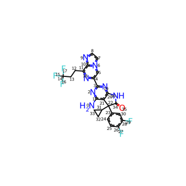 Nc1nc(-c2cn3ccnc3c(CCC(F)(F)F)n2)nc2c1C(c1ccc(F)c(F)c1)(C1CC1)C(=O)N2